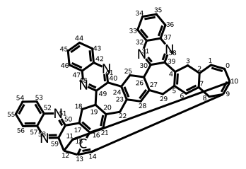 C1=CC2CC3=C4C=C2CC2=C1CC1C(=C2)CC2=C(CC5C(=C2)CC2=C(CC(C(=C2)C4)c2nc4ccccc4nc23)c2nc3ccccc3nc25)c2nc3ccccc3nc21